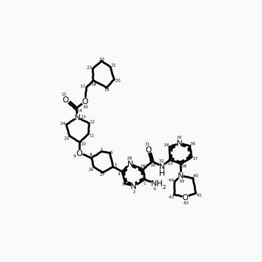 Nc1ncc(C2CCC(OC3CCN(C(=O)OCC4CCCCC4)CC3)CC2)nc1C(=O)Nc1cnccc1N1CCOCC1